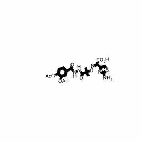 CC(=O)Oc1ccc(C(=O)NNC(=O)C(C)(C)ON=C(C(=O)O)c2csc(N)n2)cc1OC(C)=O